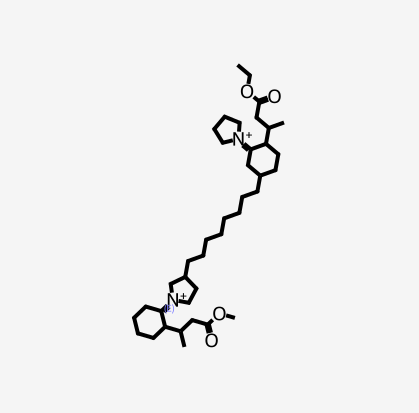 CCOC(=O)CC(C)C1CCC(CCCCCCCCC2CC/[N+](=C3/CCCCC3C(C)CC(=O)OC)C2)CC1=[N+]1CCCC1